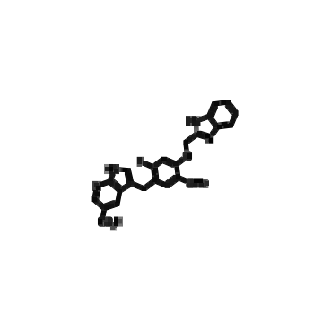 COc1cc(Cc2c[nH]c3ncc(C(=O)O)cc23)c(F)cc1OCc1nc2ccccc2[nH]1